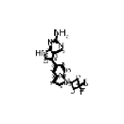 Nc1ncc2c(C3=CC4=CCN(C5CC(F)(F)C5)N4C=C3)c[nH]c2n1